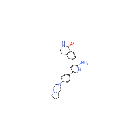 Nc1ncc(-c2ccc(N3CCN4CCCC4C3)cc2)cc1-c1ccc2c(c1)CCNC2=O